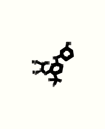 C[C@@H](O)[C@@H](C)Oc1nc(Nc2cccc(O)c2)ncc1C(F)(F)F